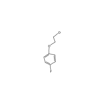 [O]CCOc1ccc(F)cc1